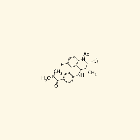 CC(=O)N1c2ccc(F)cc2[C@H](Nc2ccc(C(=O)N(C)C)cc2)[C@@H](C)[C@H]1C1CC1